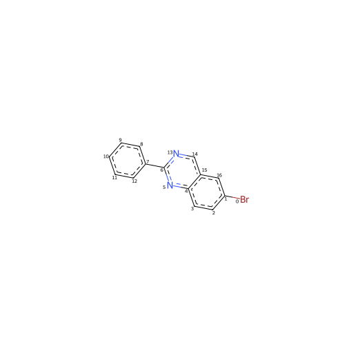 Brc1ccc2nc(-c3ccccc3)ncc2c1